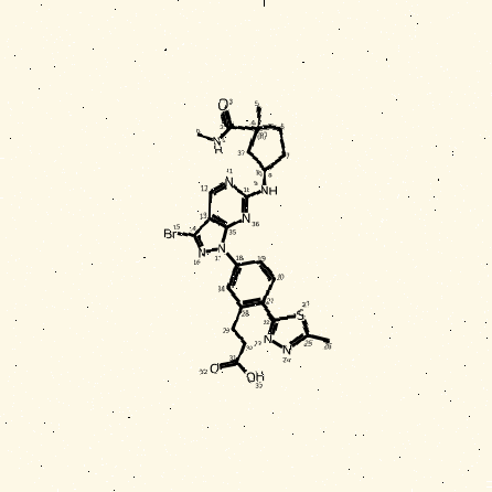 CNC(=O)[C@]1(C)CC[C@@H](Nc2ncc3c(Br)nn(-c4ccc(-c5nnc(C)s5)c(CCC(=O)O)c4)c3n2)C1